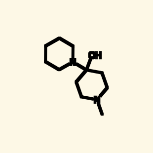 CN1CCC(O)(N2CCCCC2)CC1